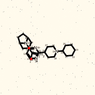 C=C(C)N1CC2CCC(C1)N2c1ccnc(C2CCN(C3CCCCC3)CC2)n1